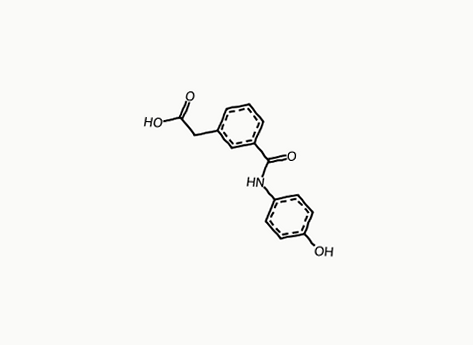 O=C(O)Cc1cccc(C(=O)Nc2ccc(O)cc2)c1